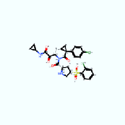 C[C@@H](C(=O)C(=O)NC1CC1)N(C(=O)[C@@H]1C[C@@H](S(=O)(=O)c2ccccc2Cl)CN1)C(=O)C1(c2ccc(Cl)cc2)CC1